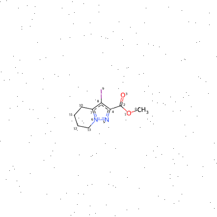 COC(=O)c1nn2c(c1I)CCCC2